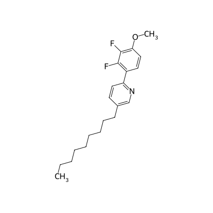 CCCCCCCCCc1ccc(-c2ccc(OC)c(F)c2F)nc1